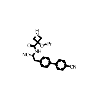 CC(C)OC1(C(=O)N[C@H](C#N)Cc2ccc(-c3ccc(C#N)cc3)cc2)CNC1